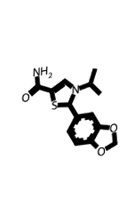 CC(C)N1C=C(C(N)=O)SC1c1ccc2c(c1)OCO2